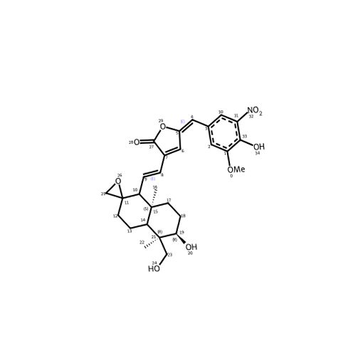 COc1cc(/C=C2C=C(/C=C/C3C4(CCC5[C@]3(C)CC[C@@H](O)[C@@]5(C)CO)CO4)C(=O)O\2)cc([N+](=O)[O-])c1O